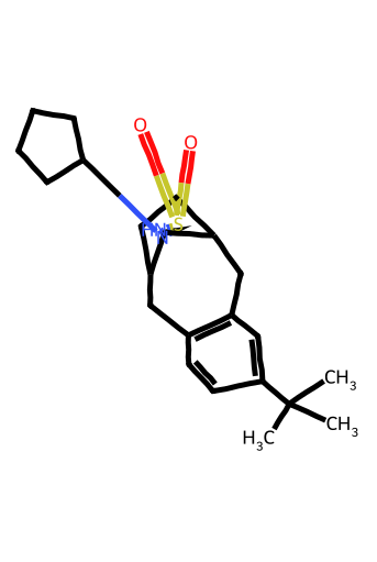 CC(C)(C)c1ccc2c(c1)CC1CCC(C2)C12CN(C1CCCC1)S(=O)(=O)N2